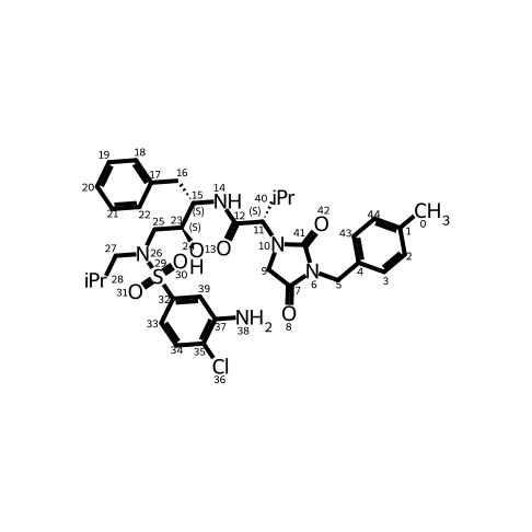 Cc1ccc(CN2C(=O)CN([C@H](C(=O)N[C@@H](Cc3ccccc3)[C@@H](O)CN(CC(C)C)S(=O)(=O)c3ccc(Cl)c(N)c3)C(C)C)C2=O)cc1